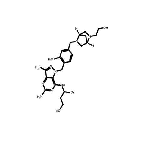 CCCC(CCO)Nc1nc(N)nc2c(C)nn(Cc3ccc(CN4C[C@@H]5C[C@H]4CN5CCO)cc3OC)c12